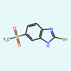 O=S(=O)(c1ccc2nc(S)[nH]c2c1)C(F)(F)F